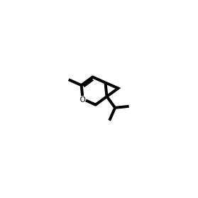 CC1=CC2CC2(C(C)C)CO1